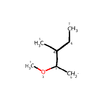 [CH2]C(OC)C(C)CC